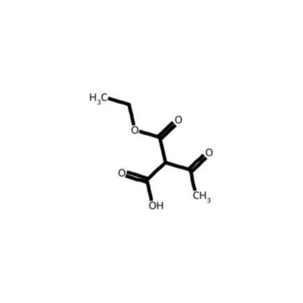 CCOC(=O)C(C(C)=O)C(=O)O